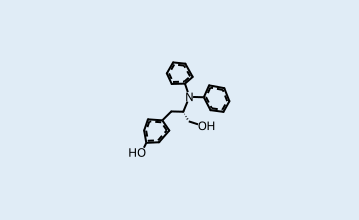 OC[C@H](Cc1ccc(O)cc1)N(c1ccccc1)c1ccccc1